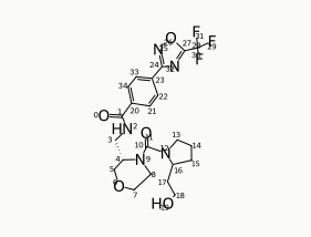 O=C(NC[C@H]1COCCN1C(=O)N1CCCC1CCO)c1ccc(-c2noc(C(F)(F)F)n2)cc1